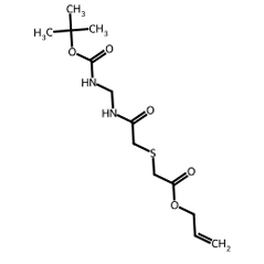 C=CCOC(=O)CSCC(=O)NCNC(=O)OC(C)(C)C